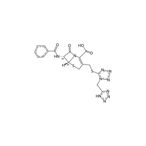 O=C(O)C1=C(CSc2nnnn2Cc2nnn[nH]2)CS[C@@H]2[C@H](NC(=O)c3ccccc3)C(=O)N12